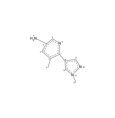 Cc1cc(N)cnc1-c1cnn(C)c1